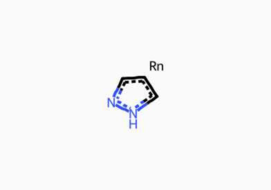 [Rn].c1cn[nH]c1